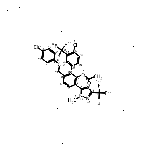 CC(=O)Oc1c(-c2cc(C(F)(F)F)nn2C)ccc(COc2ccc(Cl)cc2)c1-c1ccc(Cl)c(C(F)(F)F)c1